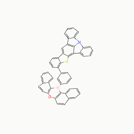 c1cc(B2c3c(ccc4ccccc34)Oc3ccc4ccccc4c32)cc(-c2cccc3c2sc2c3cc3c4ccccc4n4c5ccccc5c2c34)c1